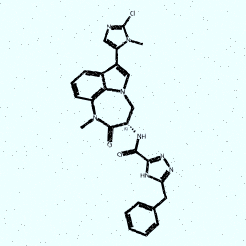 CN1C(=O)[C@@H](NC(=O)c2nnc(Cc3ccccc3)[nH]2)Cn2cc(-c3cnc(Cl)n3C)c3cccc1c32